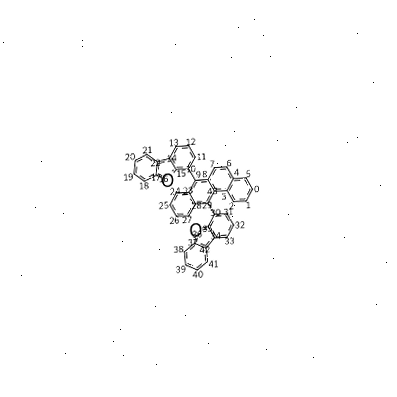 c1ccc2c(c1)ccc1c(-c3cccc4c3oc3ccccc34)c3ccccc3c(-c3cccc4c3oc3ccccc34)c12